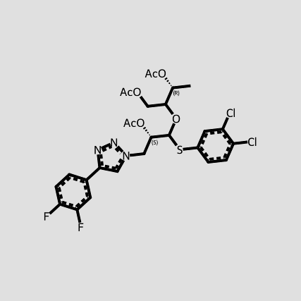 CC(=O)OCC(OC(Sc1ccc(Cl)c(Cl)c1)[C@H](Cn1cc(-c2ccc(F)c(F)c2)nn1)OC(C)=O)[C@@H](C)OC(C)=O